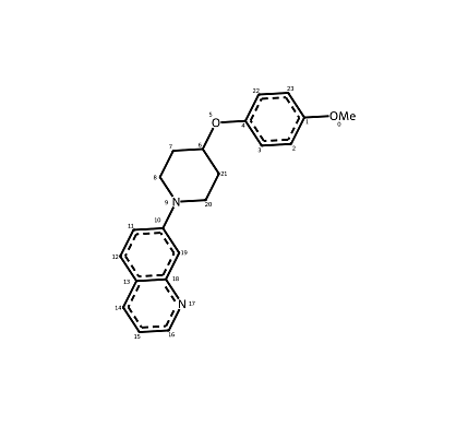 COc1ccc(OC2CCN(c3ccc4cccnc4c3)CC2)cc1